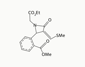 CCOC(=O)CN1C(=O)/C(=C\SC)C1c1ccccc1C(=O)OC